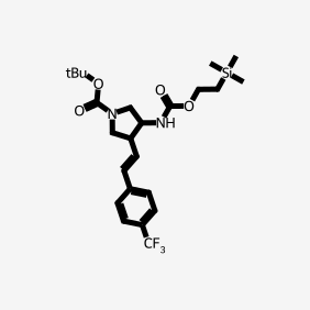 CC(C)(C)OC(=O)N1CC(/C=C/c2ccc(C(F)(F)F)cc2)C(NC(=O)OCC[Si](C)(C)C)C1